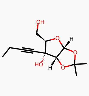 CCC#C[C@@]1(O)[C@@H](CO)O[C@@H]2OC(C)(C)O[C@@H]21